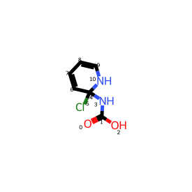 O=C(O)NC1(Cl)C=CC=CN1